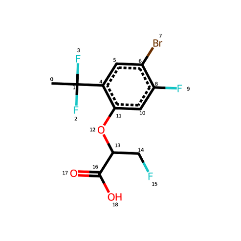 CC(F)(F)c1cc(Br)c(F)cc1OC(CF)C(=O)O